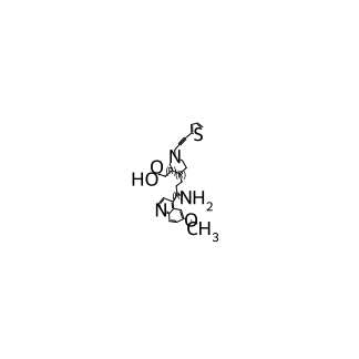 COc1ccc2nccc([C@H](N)CC[C@@H]3CCN(CC#Cc4cccs4)C[C@@H]3CC(=O)O)c2c1